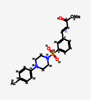 COC(=O)/C=C/c1cccc(S(=O)(=O)N2CCN(c3ccc(C(C)=O)cc3)CC2)c1